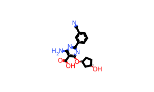 N#Cc1cccc(-c2nc(N)c(C(=O)O)c(O[C@H]3CC[C@@H](O)C3)n2)c1